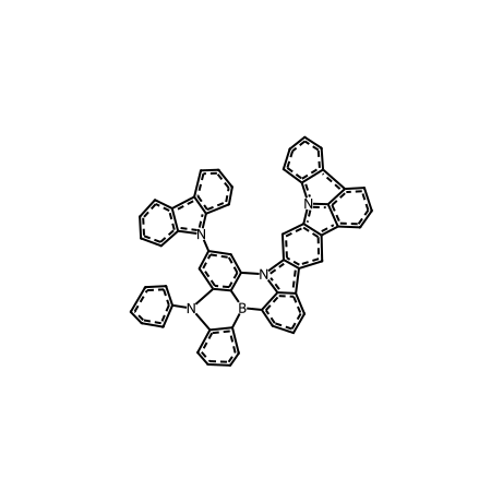 c1ccc(N2c3ccccc3B3c4c2cc(-n2c5ccccc5c5ccccc52)cc4-n2c4cc5c(cc4c4cccc3c42)c2cccc3c4ccccc4n5c32)cc1